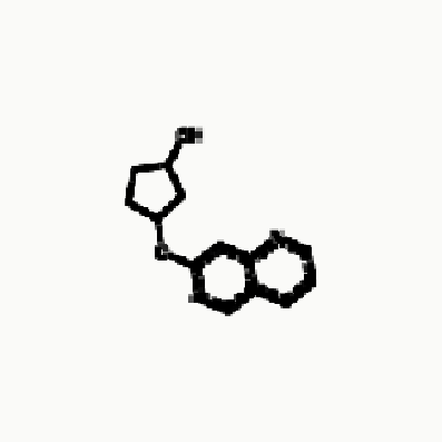 OC1CCC(Oc2[c]cc3cccnc3c2)C1